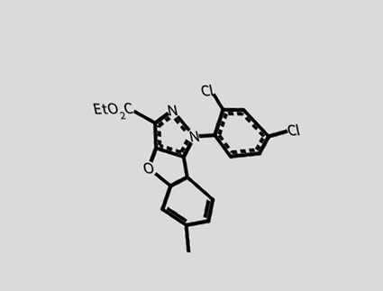 CCOC(=O)c1nn(-c2ccc(Cl)cc2Cl)c2c1OC1C=C(C)C=CC21